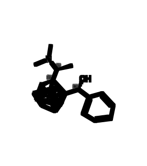 C[C@H](N(C)C)[C@]12[CH]3[CH]4[CH]5[C]1([C@H](O)c1ccccc1)[Fe]45321678[CH]2[CH]1[CH]6[CH]7[CH]28